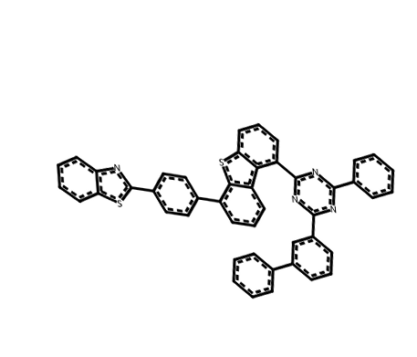 c1ccc(-c2cccc(-c3nc(-c4ccccc4)nc(-c4cccc5sc6c(-c7ccc(-c8nc9ccccc9s8)cc7)cccc6c45)n3)c2)cc1